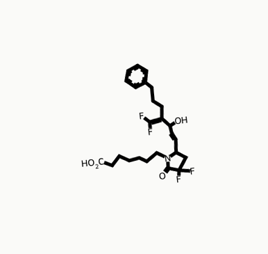 O=C(O)CCCCCCN1C(=O)C(F)(F)CC1C=CC(O)C(CCCc1ccccc1)=C(F)F